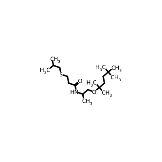 CC(C)CSCCC(=O)NC(C)COC(C)(C)CCC(C)(C)C